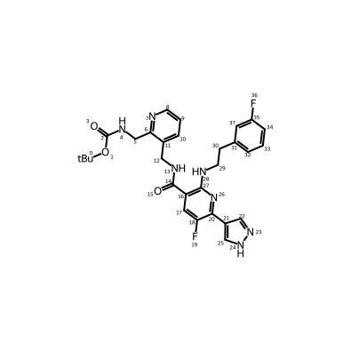 CC(C)(C)OC(=O)NCc1ncccc1CNC(=O)c1cc(F)c(-c2cn[nH]c2)nc1NCCc1cccc(F)c1